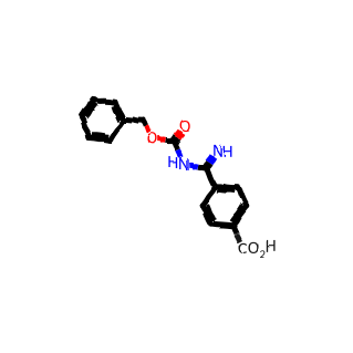 N=C(NC(=O)OCc1ccccc1)c1ccc(C(=O)O)cc1